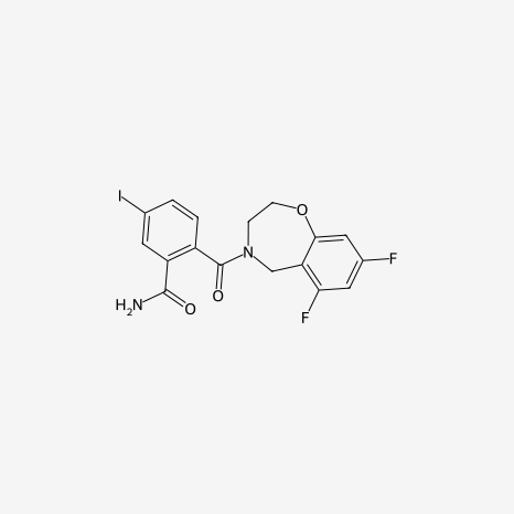 NC(=O)c1cc(I)ccc1C(=O)N1CCOc2cc(F)cc(F)c2C1